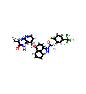 O=C(Nc1cc(C(F)(F)F)ccc1F)Nc1ccc(Oc2ccnc3nc(CF)c(=O)[nH]c23)c2ccccc12